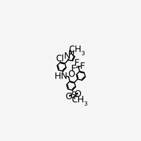 Cn1ccc(-c2cc(NC(=O)c3ccc(S(C)(=O)=O)cc3-c3cccc(C(F)(F)F)c3)ccc2Cl)n1